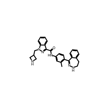 Cc1cc(NC(=O)c2nn(CC3CNC3)c3ccccc23)ccc1C1=NNCCc2ccccc21